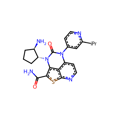 CC(C)c1cc(N2C(=O)N([C@@H]3CCC[C@H]3N)c3c(C(N)=O)sc4nccc2c34)ccn1